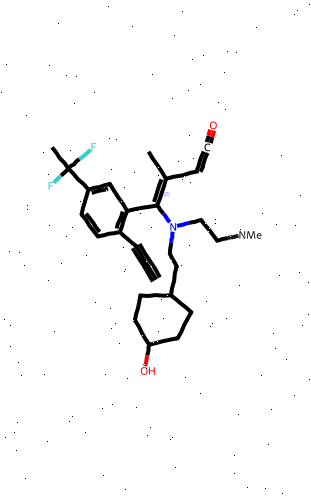 C#Cc1ccc(C(C)(F)F)cc1/C(=C(\C)C=C=O)N(CCNC)CCC1CCC(O)CC1